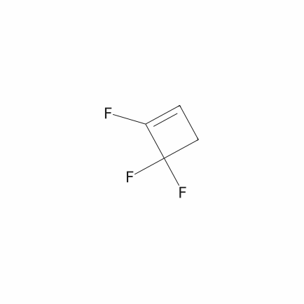 FC1=CCC1(F)F